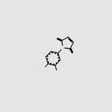 COc1ccc(N2C(=O)C=CC2=O)cc1Cl